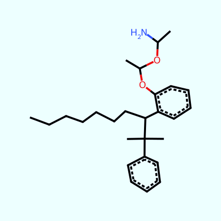 CCCCCCCC(c1ccccc1OC(C)OC(C)N)C(C)(C)c1ccccc1